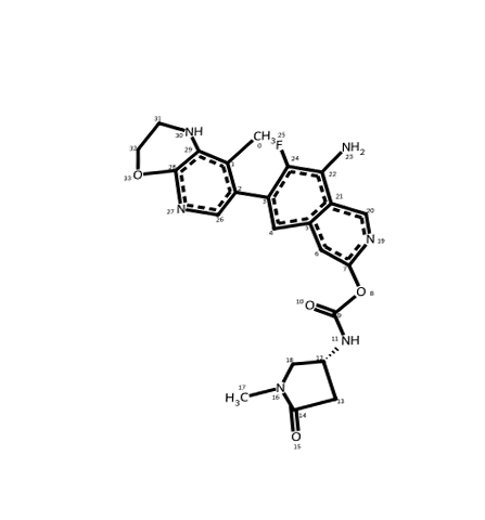 Cc1c(-c2cc3cc(OC(=O)N[C@@H]4CC(=O)N(C)C4)ncc3c(N)c2F)cnc2c1NCCO2